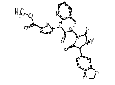 COC(=O)c1csc(NC(=O)[C@H](Cc2cccnc2)N2C(=O)NC(c3ccc4c(c3)OCO4)C2=O)n1